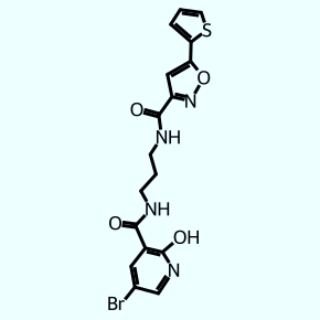 O=C(NCCCNC(=O)c1cc(Br)cnc1O)c1cc(-c2cccs2)on1